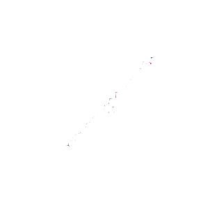 C=C(C)C(=O)NCCOCCOCCNC(=O)CC(OC=O)C(CC(=O)NCCOCCOCCNC(=O)C(=C)C)C(=O)O